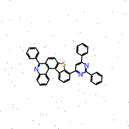 c1ccc(-c2cc(-c3cccc4c3sc3ccc5c(-c6ccccc6)nc6ccccc6c5c34)nc(-c3ccccc3)n2)cc1